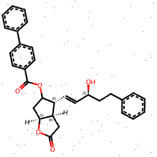 O=C1C[C@H]2[C@H](CC(OC(=O)c3ccc(-c4ccccc4)cc3)[C@@H]2C=C[C@@H](O)CCc2ccccc2)O1